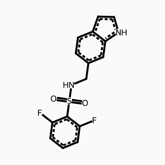 O=S(=O)(NCc1ccc2cc[nH]c2c1)c1c(F)cccc1F